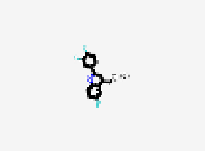 O=CCc1cc(-c2ccc(F)c(F)c2)nc2ccc(F)cc12